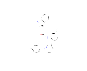 O=C(Cc1c[nH]c2ccc(F)cc12)N[C@@H](Cc1cc(F)cc(F)c1)c1ncccc1-c1ccc(Cl)c(Cl)c1